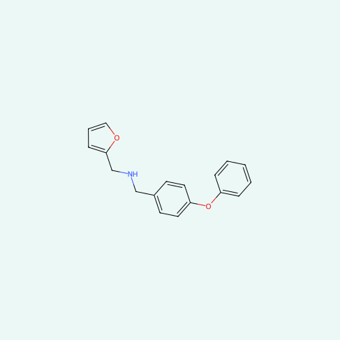 c1ccc(Oc2ccc(CNCc3ccco3)cc2)cc1